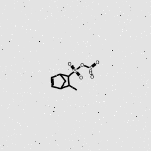 CC1C2C=CC(C2)C1S(=O)(=O)O[SH](=O)=O